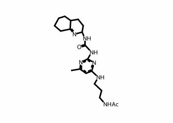 CC(=O)NCCCNc1cc(C)nc(NC(=O)NC2CCC3CCCCC3=N2)n1